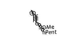 C=CC(=O)OCCC(F)(F)C(F)(F)C(F)(F)C(F)(F)CCOc1ccc2cc(-c3ccc(CCCCC)cc3OC)sc2c1